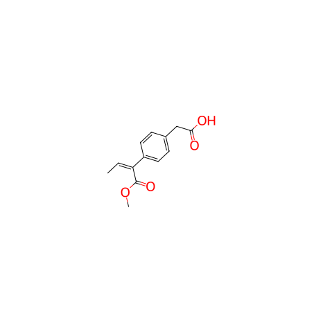 CC=C(C(=O)OC)c1ccc(CC(=O)O)cc1